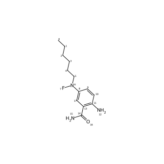 CCCCCCN(F)c1ccc(N)c(C(N)=O)c1